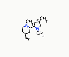 CC(C)C1CCN(C)C(C2C[C@@H](C)CN2C)C1